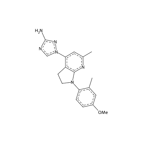 COc1ccc(N2CCc3c(-n4cnc(N)n4)cc(C)nc32)c(C)c1